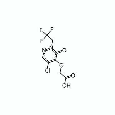 O=C(O)COc1c(Cl)cnn(CC(F)(F)F)c1=O